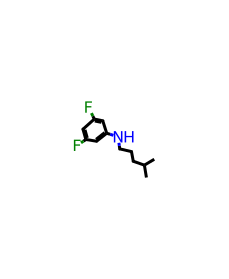 CC(C)CCCNc1cc(F)cc(F)c1